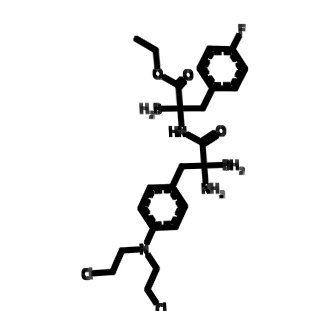 BC(N)(Cc1ccc(N(CCCl)CCCl)cc1)C(=O)NC(B)(Cc1ccc(F)cc1)C(=O)OCC